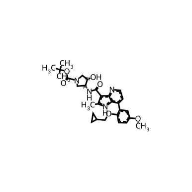 COc1ccc(OCC2CC2)c(-c2ccnc3c(C(=O)N[C@@H]4CN(C(=O)OC(C)(C)C)C[C@H]4O)c(C)[nH]c23)c1